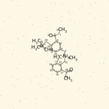 CCC(=O)c1cc(C[N+](C)(C)Cc2ccccc2C(C)=O)ccc1C[N+](C)(C)C